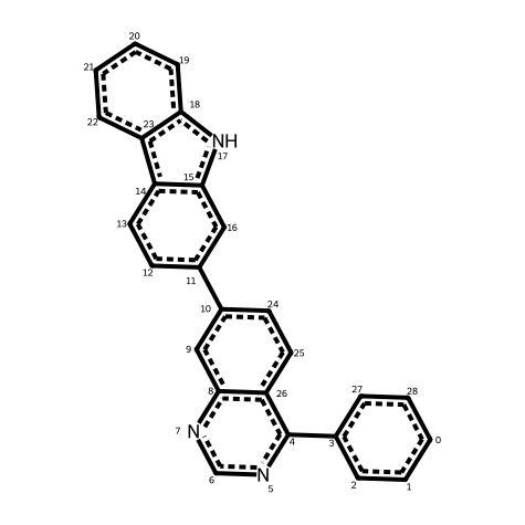 c1ccc(-c2ncnc3cc(-c4ccc5c(c4)[nH]c4ccccc45)ccc23)cc1